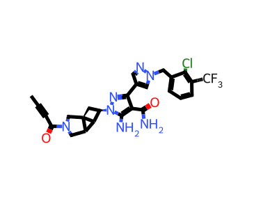 CC#CC(=O)N1CC2C3[C@H](n4nc(-c5cnn(Cc6cccc(C(F)(F)F)c6Cl)c5)c(C(N)=O)c4N)C[C@]23C1